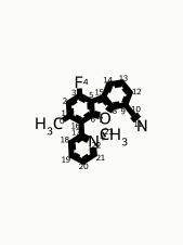 Cc1cc(F)c2c(oc3c(C#N)cccc32)c1-c1cccc[n+]1C